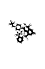 CN=S(C)(=O)c1ccccc1N[C@H](C)c1cc(C)cc2c(=O)n(C)c(N3CCN(CC(F)(F)F)CC3)cc12